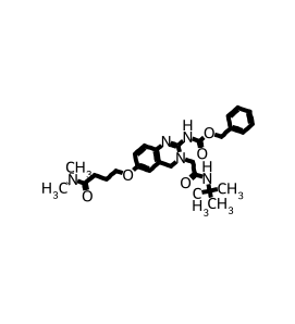 CN(C)C(=O)CCCOc1ccc2c(c1)CN(CC(=O)NC(C)(C)C)C(NC(=O)OCc1ccccc1)=N2